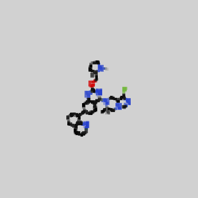 C[C@@H]1Cn2cnc(F)c2CN1c1nc(OC[C@H]2CCCN2C)nc2cc(-c3cccc4cccnc34)ccc12